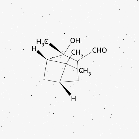 CC1(C)[C@@H]2CC(C=O)[C@@](C)(O)[C@H]1C2